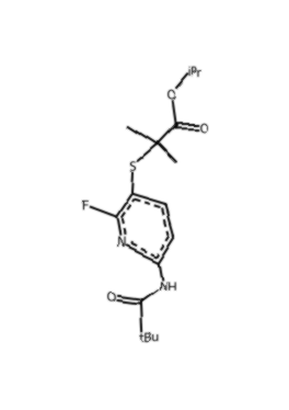 CC(C)OC(=O)C(C)(C)Sc1ccc(NC(=O)C(C)(C)C)nc1F